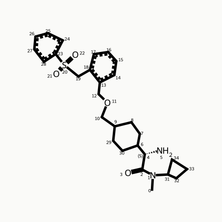 CN(C(=O)[C@@H](N)C1CCC(COCc2ccccc2CS(=O)(=O)c2ccccc2)CC1)C1CCC1